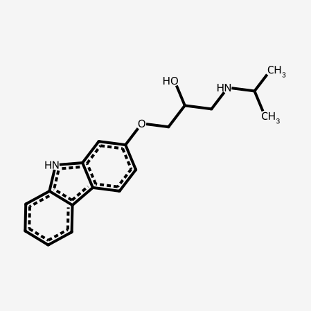 CC(C)NCC(O)COc1ccc2c(c1)[nH]c1ccccc12